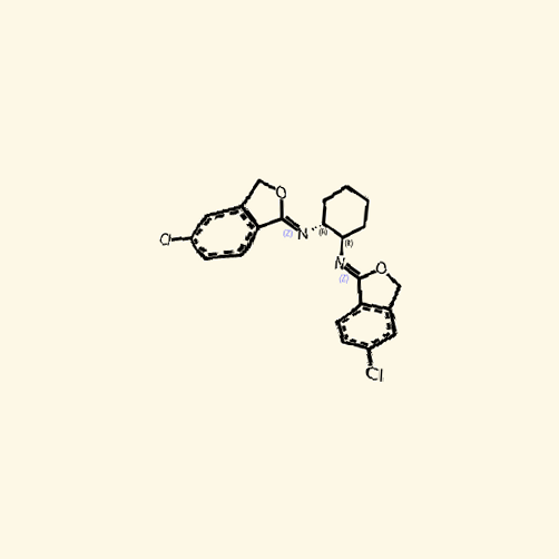 Clc1ccc2c(c1)CO/C2=N\[C@@H]1CCCC[C@H]1/N=C1\OCc2cc(Cl)ccc21